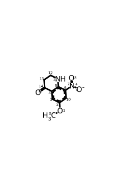 COc1cc2c(c([N+](=O)[O-])c1)NCCC2=O